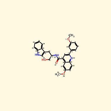 COc1cccc(-c2cc(C(=O)N[C@@H](CO)Cc3c[nH]c4ccccc34)c3cc(OC)ccc3n2)c1